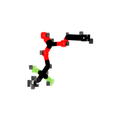 C=COC(=O)OCC(F)(F)C(F)(F)F